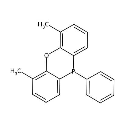 Cc1cccc2c1Oc1c(C)cccc1P2c1ccccc1